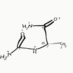 C[C@H](NC(N)=O)C(N)=O